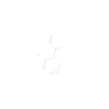 C=CC(c1ccccc1)S(=O)(=O)O.N